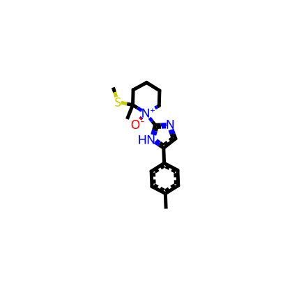 CSC1(C)CCCC[N+]1([O-])c1ncc(-c2ccc(C)cc2)[nH]1